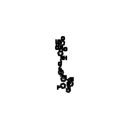 O=C1CCC(N2C(=O)c3ccc(NCCOCCN4CCN(c5cccc(-c6cnc7ccc(N8CCC[C@@H]8c8cccc(F)c8)nn67)n5)CC4)cc3C2=O)C(=O)N1